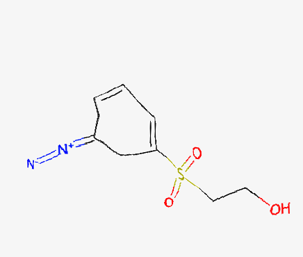 [N-]=[N+]=C1C=CC=C(S(=O)(=O)CCO)C1